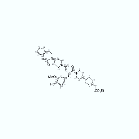 CCOC(=O)CN1CCC(N2CCN(C(=O)[C@@H](Cc3cc(C)c(O)c(OC)c3)OC(=O)N3CCC(N4CCc5ccccc5NC4=O)CC3)CC2)CC1